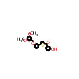 COc1cc(COc2cccc(-c3ccc(C(=O)c4cccc(O)c4)s3)c2)cc(OC)c1